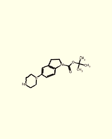 CC(C)(C)OC(=O)N1CCc2cc(N3CCNCC3)ccc21